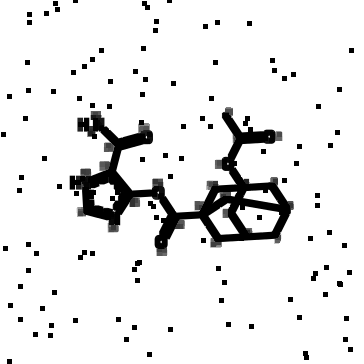 CC(=O)OC12CC3CC(C1)CC(C(=O)Oc1nc[nH]c1C(N)=O)(C3)C2